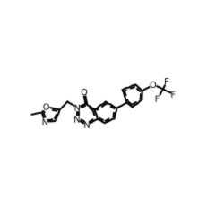 Cc1ncc(Cn2nnc3ccc(-c4ccc(OC(F)(F)F)cc4)cc3c2=O)o1